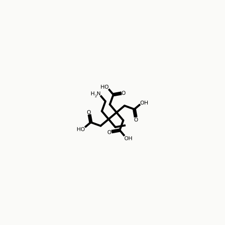 CCC(CCN)(CC(=O)O)C(CC(=O)O)(CC(=O)O)CC(=O)O